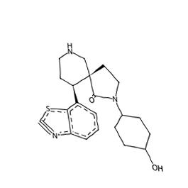 O=C1N(C2CCC(O)CC2)CC[C@@]12CNCC[C@@H]2c1cccc2[n+]#csc12